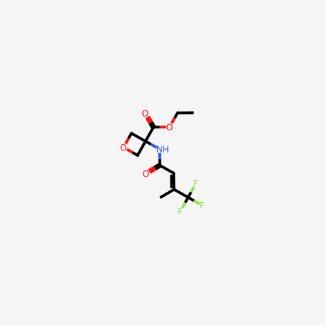 CCOC(=O)C1(NC(=O)/C=C(\C)C(F)(F)F)COC1